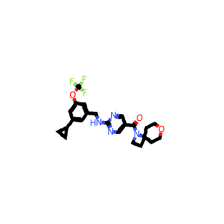 O=C(c1cnc(NCc2cc(OC(F)(F)F)cc(C3CC3)c2)nc1)N1CCC12CCOCC2